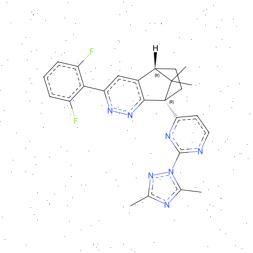 Cc1nc(C)n(-c2nccc([C@]34CC[C@@H](c5cc(-c6c(F)cccc6F)nnc53)C4(C)C)n2)n1